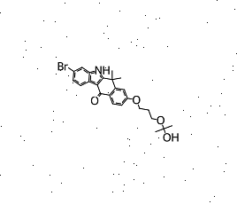 CC(C)(O)OCCCOc1ccc2c(c1)C(C)(C)c1[nH]c3cc(Br)ccc3c1C2=O